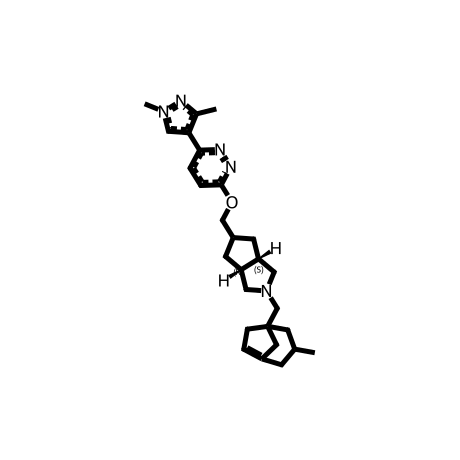 Cc1nn(C)cc1-c1ccc(OCC2C[C@@H]3CN(CC45CC=C(CC(C)C4)C5)C[C@@H]3C2)nn1